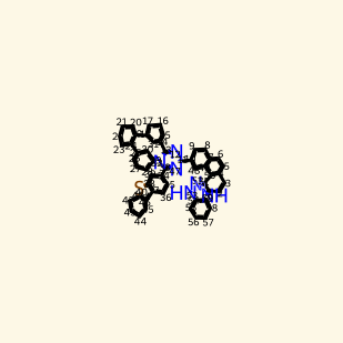 N=C1C=Cc2ccc3ccc(-c4nc(-c5cccc(-c6ccccc6-c6ccccc6)c5)nc(-c5ccc6c(c5)sc5ccccc56)n4)cc3c2/C1=N/Nc1ccccc1